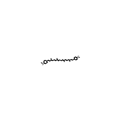 CSc1ccc(/C=C/C(C)=C/C=C/C(C)=C/CC/C=C(C)/C=C/C=C(C)/C=C/c2ccc(SC)cc2)cc1